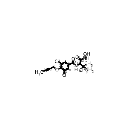 CC#CCOc1c(Cl)cc(C(=O)NC(C(=O)NO)C(C)(C)N)cc1Cl